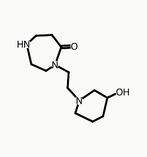 O=C1CCNCCN1CCN1CCCC(O)C1